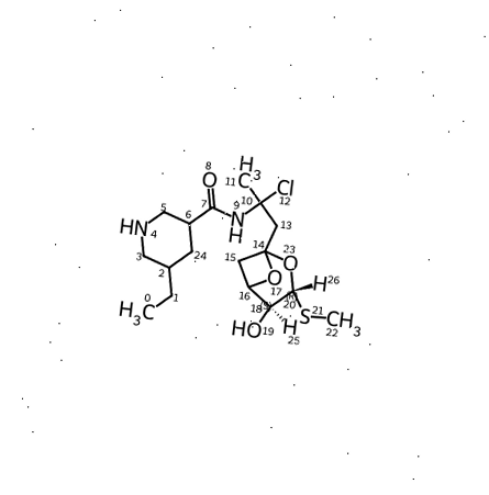 CCC1CNCC(C(=O)NC(C)(Cl)CC23CC(O2)[C@H](O)[C@@H](SC)O3)C1